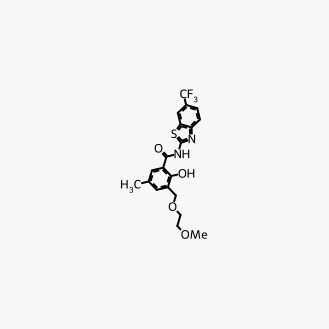 COCCOCc1cc(C)cc(C(=O)Nc2nc3ccc(C(F)(F)F)cc3s2)c1O